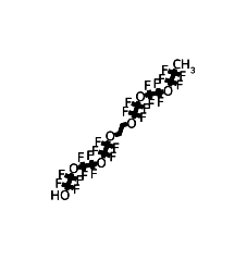 CC(F)(F)C(F)(F)OC(F)(F)C(F)(F)OC(F)(F)C(F)(F)OCCOC(F)(F)C(F)(F)OC(F)(F)C(F)(F)OC(F)(F)C(O)(F)F